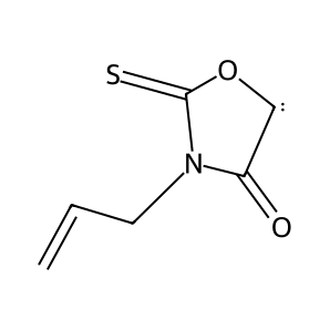 C=CCN1C(=O)[C]OC1=S